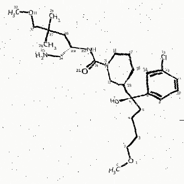 COCCCC[C@@](O)(c1cccc(Cl)c1)[C@@H]1CCCN(C(=O)N[C@H](CN)CC(C)(C)COC)C1